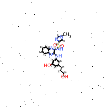 Cn1cnc(S(=O)(=O)Nc2nc3ccccc3nc2Nc2cc(O)cc(CCCO)c2)c1